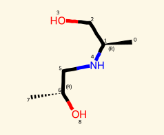 C[C@H](CO)NC[C@@H](C)O